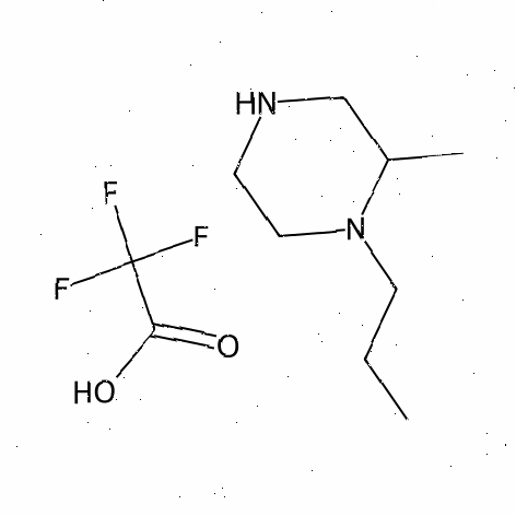 CCCN1CCNCC1C.O=C(O)C(F)(F)F